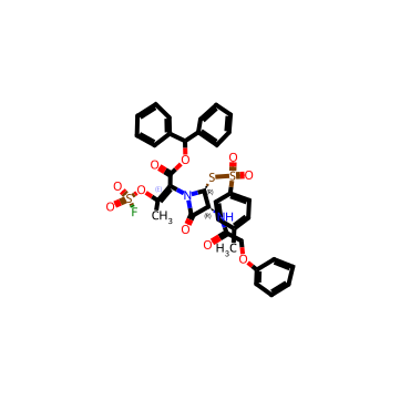 C/C(OS(=O)(=O)F)=C(/C(=O)OC(c1ccccc1)c1ccccc1)N1C(=O)[C@@H](NC(=O)COc2ccccc2)[C@H]1SS(=O)(=O)c1ccc(C)cc1